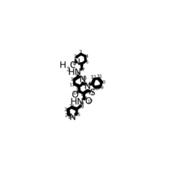 CN1CCCCC1CNc1ccc2c(=O)c(C(=O)NCc3cccnc3)c3sc4ccccc4n3c2n1